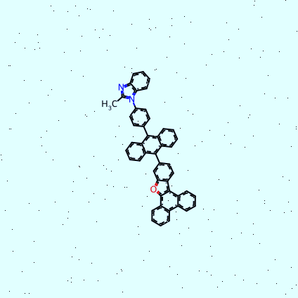 Cc1nc2ccccc2n1-c1ccc(-c2c3ccccc3c(-c3ccc4c(c3)oc3c5ccccc5c5ccccc5c43)c3ccccc23)cc1